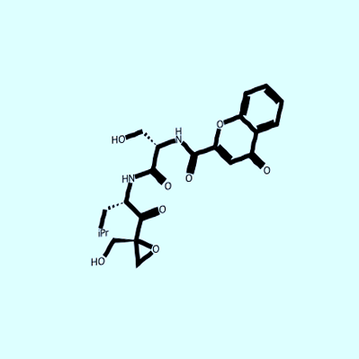 CC(C)C[C@H](NC(=O)[C@H](CO)NC(=O)c1cc(=O)c2ccccc2o1)C(=O)[C@@]1(CO)CO1